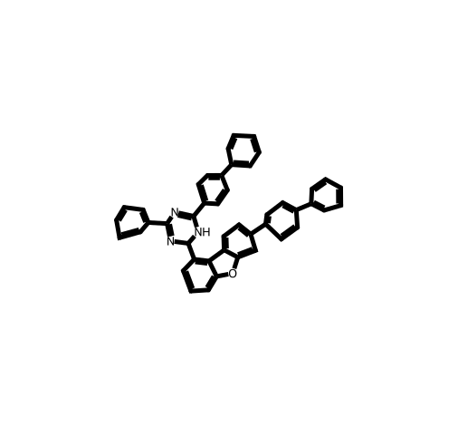 c1ccc(C2=NC(c3cccc4oc5cc(-c6ccc(-c7ccccc7)cc6)ccc5c34)NC(c3ccc(-c4ccccc4)cc3)=N2)cc1